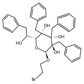 OC(Cc1ccccc1)[C@H]1O[C@H](OCCBr)[C@@](O)(Cc2ccccc2)[C@](O)(Cc2ccccc2)[C@]1(O)Cc1ccccc1